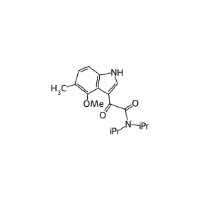 COc1c(C)ccc2[nH]cc(C(=O)C(=O)N(C(C)C)C(C)C)c12